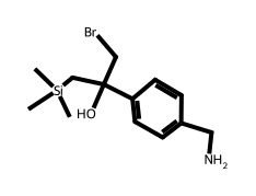 C[Si](C)(C)CC(O)(CBr)c1ccc(CN)cc1